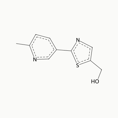 Cc1ccc(-c2ncc(CO)s2)cn1